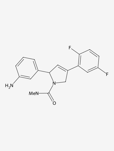 CNC(=O)N1CC(c2cc(F)ccc2F)=CC1c1cccc(N)c1